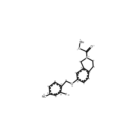 CC(C)(C)OC(=O)N1CCc2ccc(OCc3ccc(C#N)cc3F)cc2C1